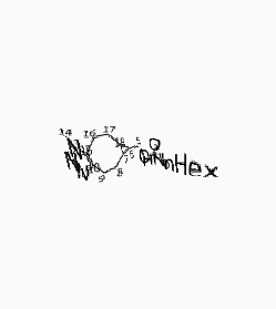 CCCCCCNC(=O)OCC1C2CCc3nnn(C)c3CCC21